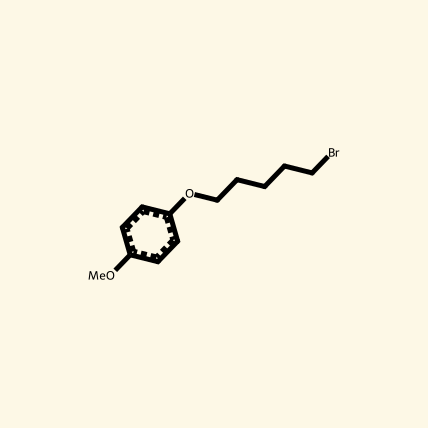 COc1ccc(OCCCCCBr)cc1